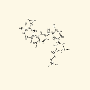 C[C@H]1C[C@@H](OCCN(C)C)CN(c2ncc(Cl)c(Nc3ccc4c(c3)C3=C(CN4C)OCC(F)(F)[C@H](C4CC4)N3)n2)C1